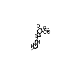 COc1cc(OS(C)(=O)=O)c2cc(-c3cn4nc(C)ccc4n3)oc2c1